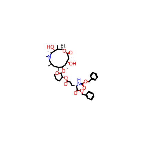 CC[C@H]1OC(=O)[C@H](C)[C@@H](O)[C@H](C)[C@@H](O[C@@H]2OCCC[C@H]2OC(=O)CC[C@@H](NC(=O)OCc2ccccc2)C(=O)OCc2ccccc2)[C@@H](C)C[C@@H](C)CN(C)[C@H](C)[C@@H](O)[C@H]1C